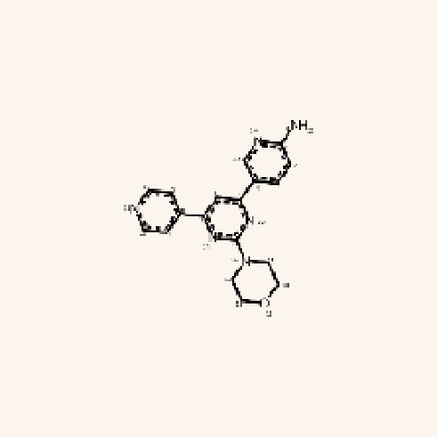 Nc1ccc(-c2cc(-c3ccncc3)nc(N3CCOCC3)n2)cn1